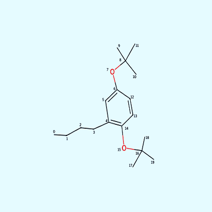 CCCCc1cc(OC(C)(C)C)ccc1OC(C)(C)C